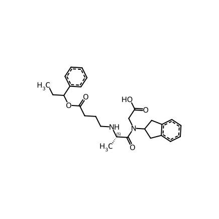 CCC(OC(=O)CCCN[C@@H](C)C(=O)N(CC(=O)O)C1Cc2ccccc2C1)c1ccccc1